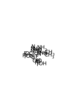 CN(C)C1CN(c2nc(C3(C(N)=O)CN(c4nccn4N)C3)c3cc(Cl)c(-c4cc(O)cc5ccccc45)c(F)c3n2)C1.O=C(O)C(F)(F)F.O=C(O)C(F)(F)F